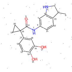 CC1CNc2cc(NC(=O)C3(c4ccc(O)c(O)c4)CC3)ccc21